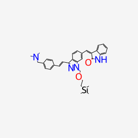 CN(C)Cc1ccc(C=Cc2nn(COCC[Si](C)(C)C)c3cc(C=C4C(=O)Nc5ccccc54)ccc23)cc1